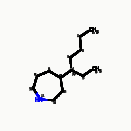 CCCC[C@H](CC)C1CCCNCC1